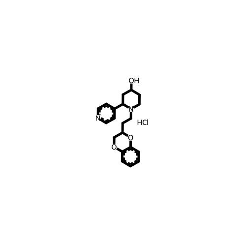 Cl.OC1CCN(CCC2COc3ccccc3O2)C(c2ccncc2)C1